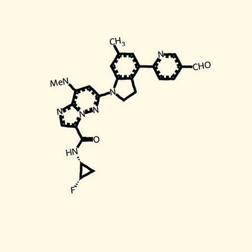 CNc1cc(N2CCc3c(-c4ccc(C=O)cn4)cc(C)cc32)nn2c(C(=O)N[C@@H]3C[C@@H]3F)cnc12